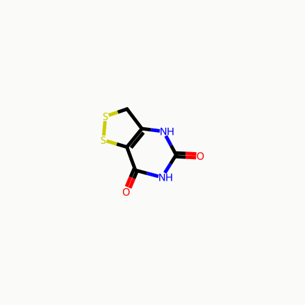 O=c1[nH]c2c(c(=O)[nH]1)SSC2